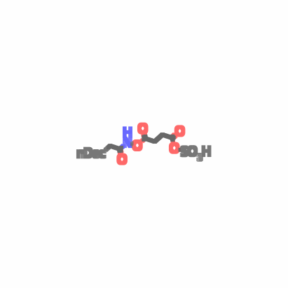 CCCCCCCCCCCC(=O)NOC(=O)CCC(=O)OS(=O)(=O)O